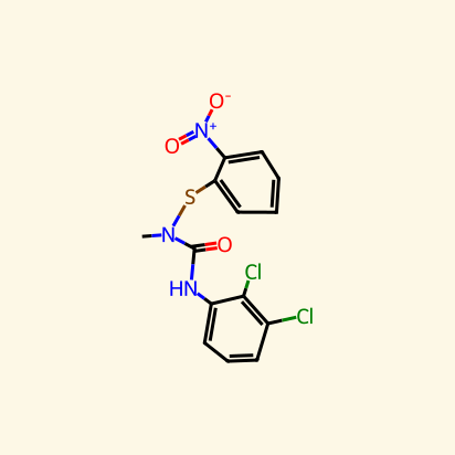 CN(Sc1ccccc1[N+](=O)[O-])C(=O)Nc1cccc(Cl)c1Cl